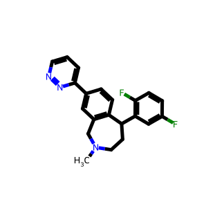 CN1CCC(c2cc(F)ccc2F)c2ccc(-c3cccnn3)cc2C1